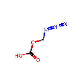 [N-]=[N+]=NCOC(=O)O